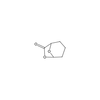 O=C1OC2CCCC1O2